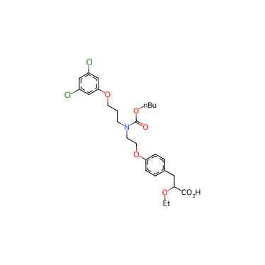 CCCCOC(=O)N(CCCOc1cc(Cl)cc(Cl)c1)CCOc1ccc(CC(OCC)C(=O)O)cc1